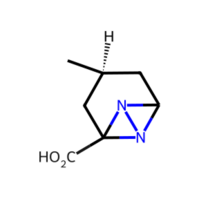 C[C@H]1CC2N3N2C3(C(=O)O)C1